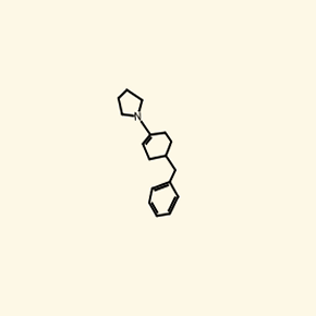 C1=C(N2CCCC2)CCC(Cc2ccccc2)C1